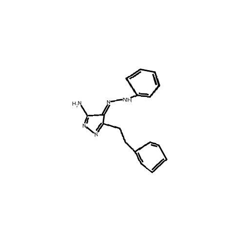 NC1=NN=C(CCc2ccccc2)/C1=N\Nc1ccccc1